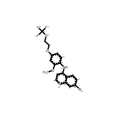 COc1cc(OCCOC(F)(F)F)ccc1Nc1ccnc2cc(Br)ccc12